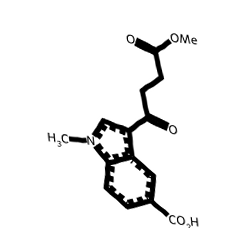 COC(=O)CCC(=O)c1cn(C)c2ccc(C(=O)O)cc12